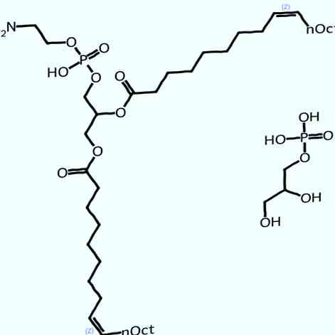 CCCCCCCC/C=C\CCCCCCCC(=O)OCC(COP(=O)(O)OCCN)OC(=O)CCCCCCC/C=C\CCCCCCCC.O=P(O)(O)OCC(O)CO